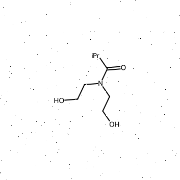 CC(C)C(=O)N(CCO)CCO